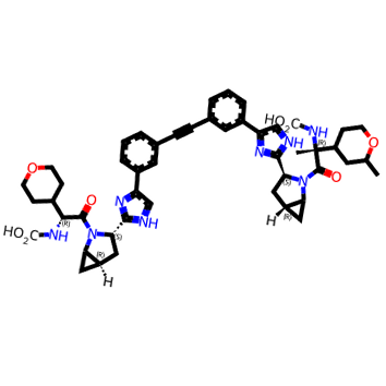 CC1CC([C@@](C)(NC(=O)O)C(=O)N2C3C[C@@H]3C[C@H]2c2nc(-c3cccc(C#Cc4cccc(-c5c[nH]c([C@@H]6C[C@H]7CC7N6C(=O)[C@H](NC(=O)O)C6CCOCC6)n5)c4)c3)c[nH]2)CCO1